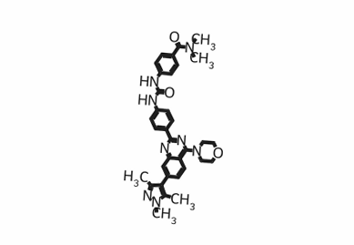 Cc1nn(C)c(C)c1-c1ccc2c(N3CCOCC3)nc(-c3ccc(NC(=O)Nc4ccc(C(=O)N(C)C)cc4)cc3)nc2c1